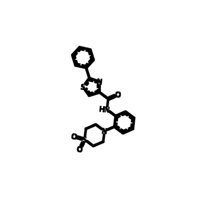 O=C(Nc1ccccc1N1CCS(=O)(=O)CC1)c1csc(-c2ccccc2)n1